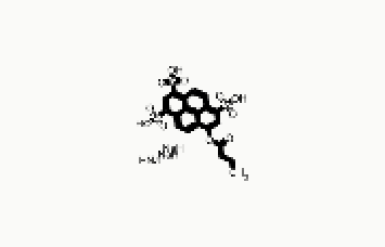 CCCC(=O)Oc1cc(S(=O)(=O)O)c2ccc3c(S(=O)(=O)O)cc(S(=O)(=O)O)c4ccc1c2c43.[NaH].[NaH].[NaH]